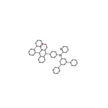 c1ccc(-c2cc(-c3ccccc3)cc(N(c3ccc(-c4c5ccccc5c(-c5ccccc5-c5ccccc5)c5ccccc45)cc3)c3ccccn3)c2)cc1